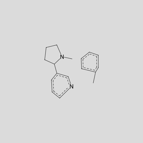 CN1CCCC1c1cccnc1.Cc1ccccc1